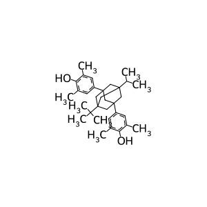 Cc1cc(C23CC4(c5cc(C)c(O)c(C)c5)CC(C(C)C)(C2)CC(C(C)(C)C)(C3)C4)cc(C)c1O